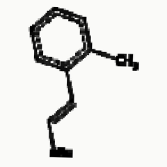 CCCCC=Cc1ccccc1C